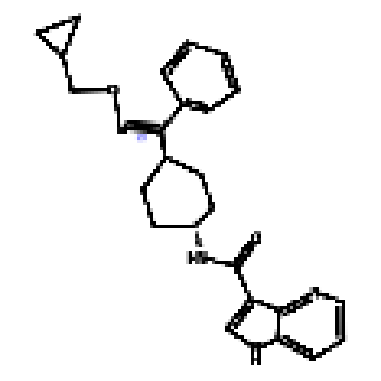 O=C(N[C@H]1CC[C@H](/C(=N/OCC2CC2)c2ccccc2)CC1)c1c[nH]c2cccnc12